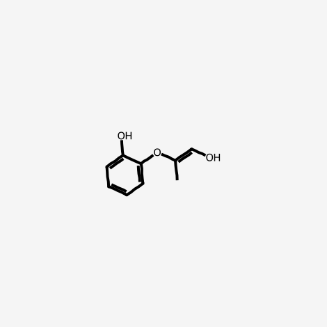 C/C(=C\O)Oc1ccccc1O